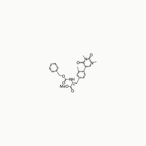 COC(=O)[C@H](Cc1ccc(-c2cn(C)c(=O)n(C)c2=O)c(C)c1)NC(=O)OCc1ccccc1